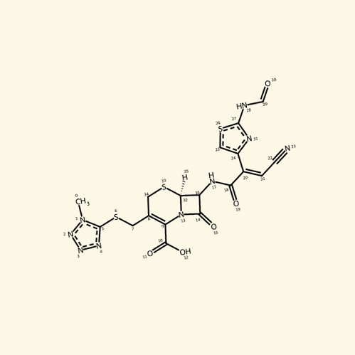 Cn1nnnc1SCC1=C(C(=O)O)N2C(=O)C(NC(=O)C(=CC#N)c3csc(NC=O)n3)[C@@H]2SC1